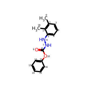 Cc1cccc(NNC(=O)Oc2ccccc2)c1C